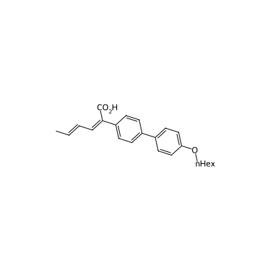 CC=CC=C(C(=O)O)c1ccc(-c2ccc(OCCCCCC)cc2)cc1